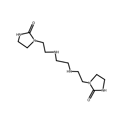 O=C1NCCN1CCNCCNCCN1CCNC1=O